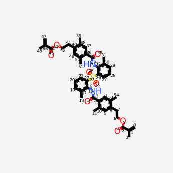 C=C(C)C(=O)OCCc1cc(C)c(C(=O)Nc2c(C)cccc2S(=O)(=O)c2cccc(C)c2NC(=O)c2cc(C)c(CCOC(=O)C(=C)C)cc2C)cc1C